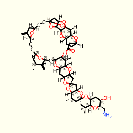 C=C1C[C@@H]2CC[C@@]34C[C@H]5OC6[C@@H](O[C@H]7CC[C@H](CC(=O)O[C@@H]8[C@@H](C)[C@@H]9O[C@@H]%10C[C@]%11(C[C@@H]%12O[C@]%13(C[C@H](C)[C@@H]%14O[C@H](CN)[C@H](O)C[C@@H]%14O%13)C[C@H](C)[C@@H]%12O%11)O[C@@H]%10C[C@@H]9O[C@H]8C[C@H]8O[C@@H](CC[C@@H]1O2)C[C@@H](C)C8=C)O[C@@H]7[C@@H]6O3)C5O4